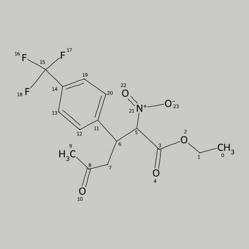 CCOC(=O)C(C(CC(C)=O)c1ccc(C(F)(F)F)cc1)[N+](=O)[O-]